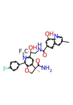 Cc1cnc2c(O)cc(C(=O)NC[C@](O)(c3cc4c(c(-c5ccc(F)cc5)n3)OC[C@]4(C)C(N)=O)C(F)(F)F)cc2c1